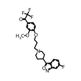 COc1cc(C(=O)C(F)(F)F)ccc1OCCCN1CCC(c2onc3cc(F)ccc23)CC1